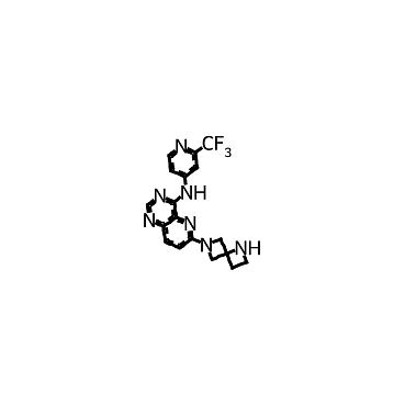 FC(F)(F)c1cc(Nc2ncnc3ccc(N4CC5(CCN5)C4)nc23)ccn1